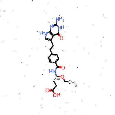 CCO[C@H](CCC(=O)O)NC(=O)c1ccc(CCc2c[nH]c3nc(N)[nH]c(=O)c23)cc1